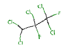 FC(Cl)(Cl)C(F)(Cl)C(Cl)Cl